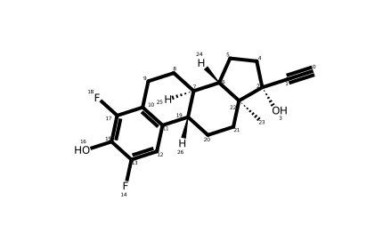 C#C[C@]1(O)CC[C@H]2[C@@H]3CCc4c(cc(F)c(O)c4F)[C@H]3CC[C@@]21C